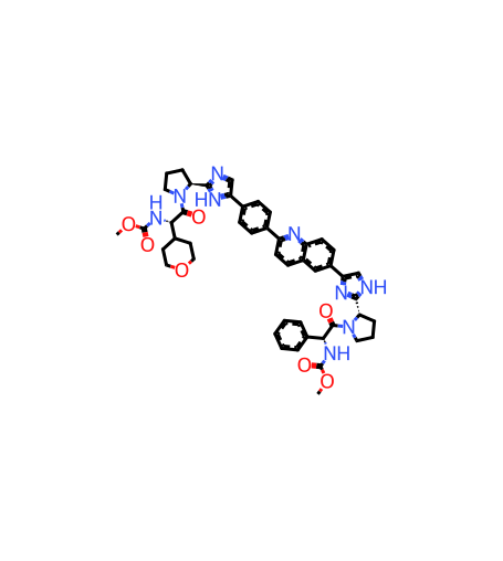 COC(=O)N[C@H](C(=O)N1CCC[C@H]1c1ncc(-c2ccc(-c3ccc4cc(-c5c[nH]c([C@@H]6CCCN6C(=O)[C@H](NC(=O)OC)c6ccccc6)n5)ccc4n3)cc2)[nH]1)C1CCOCC1